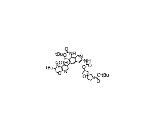 Cc1c(-c2cc3cc(NC(=O)OC4COC5(CCN(C(=O)OC(C)(C)C)C5)C4)ncc3c(NC(=O)OC(C)(C)C)c2F)cnc2c1N(C(=O)O)C(C(C)(C)C)CO2